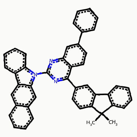 CC1(C)c2ccccc2-c2cc(-c3nc(-n4c5ccccc5c5cc6ccccc6cc54)nc4cc(-c5ccccc5)ccc34)ccc21